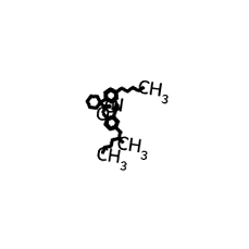 CCCCCc1ccc(C2(C(=O)Oc3ccc(CC(C)CCCC)cc3C#N)CCCCC2)cc1